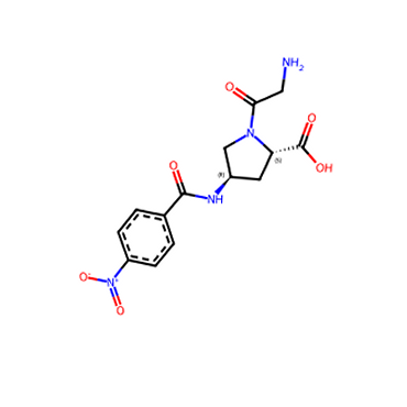 NCC(=O)N1C[C@H](NC(=O)c2ccc([N+](=O)[O-])cc2)C[C@H]1C(=O)O